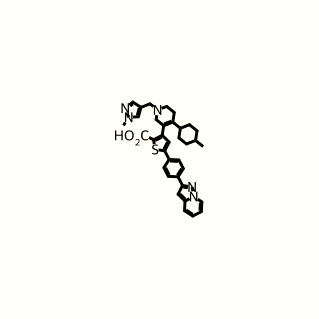 CC1CCC(C2=C(c3cc(-c4ccc(-c5cc6ccccn6n5)cc4)sc3C(=O)O)CN(Cc3cnn(C)c3)CC2)CC1